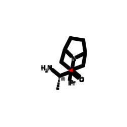 CC(C)N1CC2CCC(C1)N2C(=O)[C@H](C)N